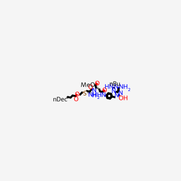 CCCCCCCCCCCCCC(=O)OCCSC[C@H](N)C(=O)N[C@@H](CCC(=O)Nc1ccc(Cn2c(O)nc3c(N)nc(NCCCC)nc32)cc1)C(=O)OC